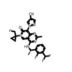 Cc1nc(N[C@H](C)c2cccc(C(F)F)c2F)c2cn(C3(CF)CC3)c(=O)c(-n3cc(C#N)cn3)c2n1